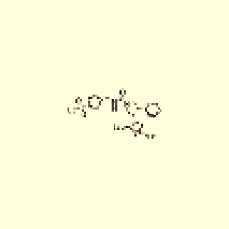 CCS(=O)(=O)c1ccc(CNC(=O)N2CC(c3ccccc3)C(c3cn(C(C)C)nc3C(C)(C)C)C2)cc1